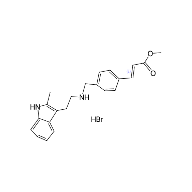 Br.COC(=O)/C=C/c1ccc(CNCCc2c(C)[nH]c3ccccc23)cc1